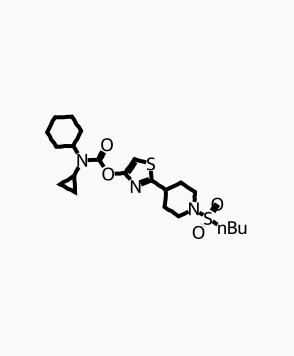 CCCCS(=O)(=O)N1CCC(c2nc(OC(=O)N(C3CCCCC3)C3CC3)cs2)CC1